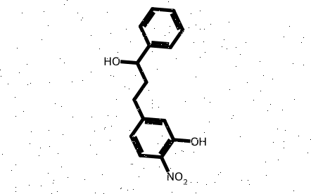 O=[N+]([O-])c1ccc(CCC(O)c2ccccc2)cc1O